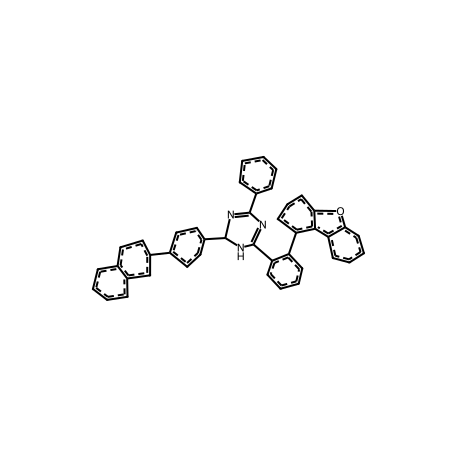 c1ccc(C2=NC(c3ccc(-c4ccc5ccccc5c4)cc3)NC(c3ccccc3-c3cccc4oc5ccccc5c34)=N2)cc1